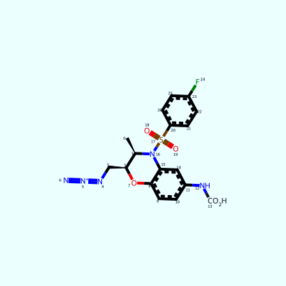 C[C@@H]1[C@H](CN=[N+]=[N-])Oc2ccc(NC(=O)O)cc2N1S(=O)(=O)c1ccc(F)cc1